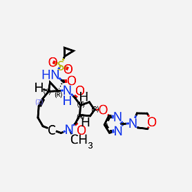 CN1CCCC/C=C\[C@@H]2C[C@@]2(C(=O)NS(=O)(=O)C2CC2)NC(=O)[C@@H]2C[C@@H](Oc3ccnc(N4CCOCC4)n3)C[C@H]2C1=O